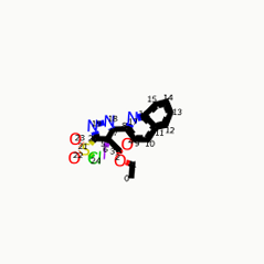 CCOC(=O)C1(I)C(c2ccc3ccccc3n2)=NN=C1S(=O)(=O)Cl